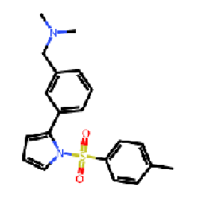 Cc1ccc(S(=O)(=O)n2cccc2-c2cccc(CN(C)C)c2)cc1